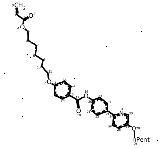 C=CC(=O)OCCCCCCCOc1ccc(C(=O)Oc2ccc(-c3ccc(OCCCCC)cn3)cc2)cc1